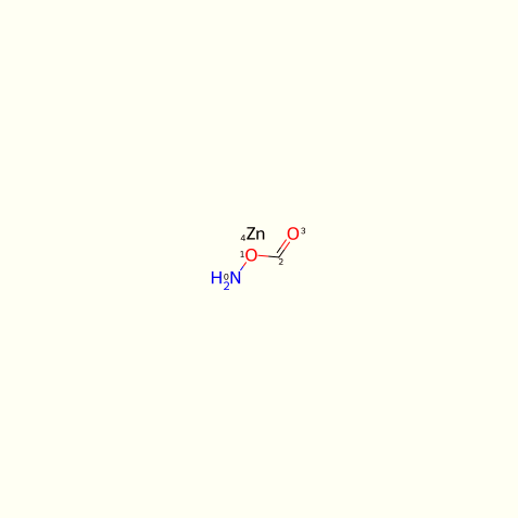 NOC=O.[Zn]